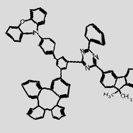 CC1(C)c2ccccc2-c2cc(-c3nc(-c4ccccc4)nc(-c4cc(-c5ccc(N6c7ccccc7Oc7ccccc76)cc5)cc(-c5ccc6c(c5)-c5ccccc5C5C=CC=CC5C5C=CC=CC65)c4)n3)ccc21